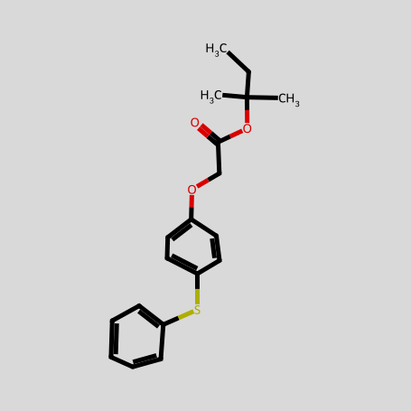 CCC(C)(C)OC(=O)COc1ccc(Sc2ccccc2)cc1